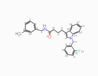 Cc1cccc(CNC(=O)CCCc2cn(Cc3ccccc3F)c3ccccc23)c1